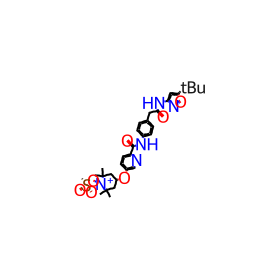 CC(C)(C)c1cc(NC(=O)Cc2ccc(NC(=O)c3ccc(OC4CC(C)(C)[N+](C)(OS(C)(=O)=O)C(C)(C)C4)cn3)cc2)no1